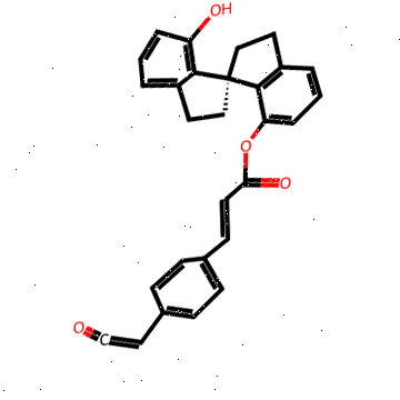 O=C=Cc1ccc(/C=C/C(=O)Oc2cccc3c2[C@]2(CCc4cccc(O)c42)CC3)cc1